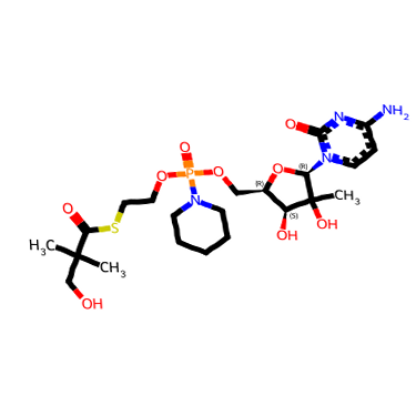 CC(C)(CO)C(=O)SCCOP(=O)(OC[C@H]1O[C@@H](n2ccc(N)nc2=O)C(C)(O)[C@H]1O)N1CCCCC1